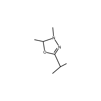 CC(C)C1=NN(C)C(C)O1